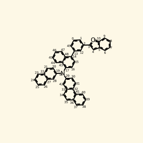 c1cc(-c2cc3ccccc3o2)cc(-c2ccc(N(c3ccc4ccccc4c3)c3ccc4c(ccc5ccccc54)c3)c3ccccc23)c1